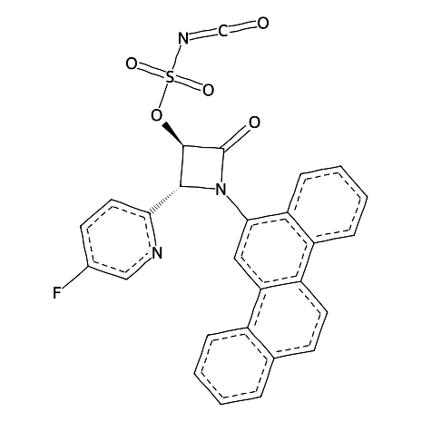 O=C=NS(=O)(=O)O[C@H]1C(=O)N(c2cc3c4ccccc4ccc3c3ccccc23)[C@@H]1c1ccc(F)cn1